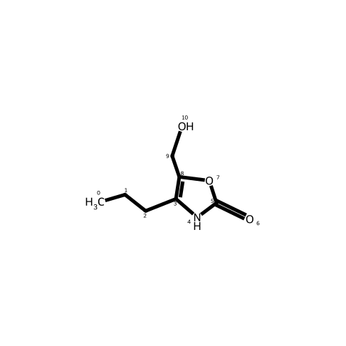 CCCc1[nH]c(=O)oc1CO